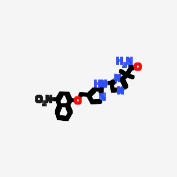 CC(C)(C(N)=O)c1cncc(Nc2cc(COc3ccc([N+](=O)[O-])c4ccccc34)ccn2)n1